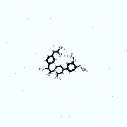 COc1ccc(C2CCN(C(=O)C(C)c3ccc(CC(C)C)cc3)C(C)C2)cc1OC